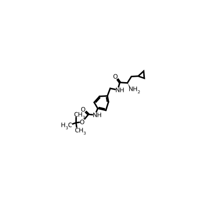 CC(C)(C)OC(=O)Nc1ccc(CNC(=O)[C@@H](N)CC2CC2)cc1